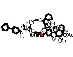 CCC1(NC(=O)Nc2ccc(-c3ccccc3)cc2)CNCCc2c([nH]c3ccccc23)[C@@](C(=O)OC)(c2cc3c(cc2OC)N(C)C2[C@H](O)[C@H](OC(C)=O)[C@]4(CC)C=CCN5CC[C@]32[C@@H]54)C[C@@H]2C[C@@H]2C1